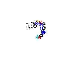 Cc1cccc(N2CCS/C2=N\C(=O)NC2CCCC2c2ccc(-c3ncn(-c4ccc(OC(F)(F)F)cc4)n3)cc2)c1C(C)C